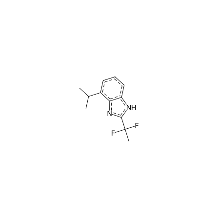 CC(C)c1cccc2[nH]c(C(C)(F)F)nc12